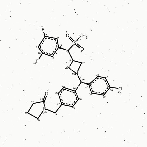 CS(=O)(=O)[C@H](c1cc(F)cc(F)c1)C1CN([C@@H](c2ccc(Cl)cc2)c2ccc(CN3CCCC3=O)cc2)C1